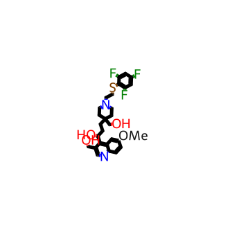 COc1ccc2ncc(CO)c(C(O)CCC3(CO)CCN(CCSc4c(F)cc(F)cc4F)CC3)c2c1